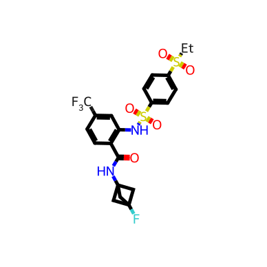 CCS(=O)(=O)c1ccc(S(=O)(=O)Nc2cc(C(F)(F)F)ccc2C(=O)NC23CC(F)(C2)C3)cc1